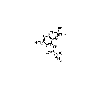 CN(C)C(=O)Oc1ccccc1OC(F)(F)F.Cl